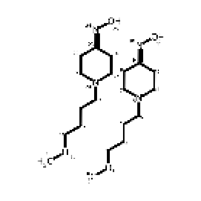 COCCCCN1CCC(=NO)CC1.COCCCCN1CCC(=NO)CC1